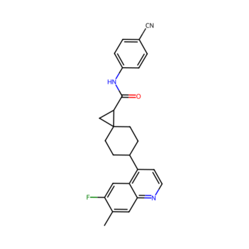 Cc1cc2nccc(C3CCC4(CC3)CC4C(=O)Nc3ccc(C#N)cc3)c2cc1F